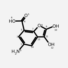 Nc1cc(C(=O)O)c2oc(O)c(O)c2c1